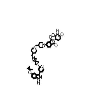 CC1(Oc2ccc3[nH]nc(-c4ccnc(N5CC6(CN(CC7CCN(CC8CCN(c9ccc%10c(c9)C(=O)N(C9CCC(=O)NC9=O)C%10=O)CC8)CC7)C6)C5)c4)c3c2)CC1